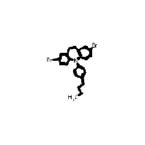 CCCCc1ccc(N2c3ccc(Br)cc3CCc3cc(Br)ccc32)cc1